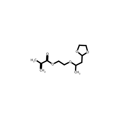 C=C(C)C(=O)OCCOC(C)CC1OCCO1